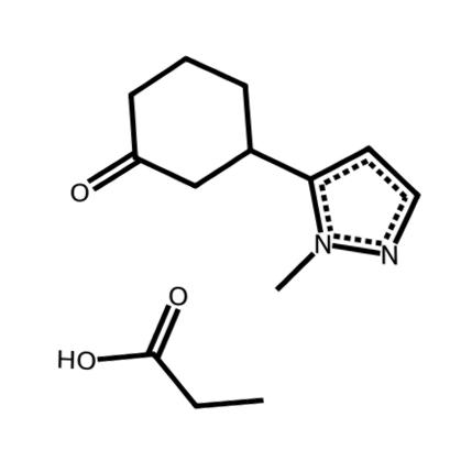 CCC(=O)O.Cn1nccc1C1CCCC(=O)C1